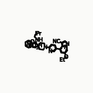 CCOc1cc(-c2ccc(N3CCC(CN4CC5CC(C4)N5C(=O)O)(C(=O)NCC(C)C)CC3)nc2)c2c(C#N)cnn2c1